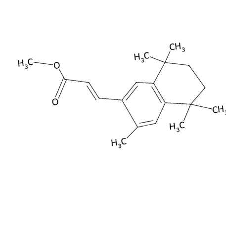 COC(=O)/C=C/c1cc2c(cc1C)C(C)(C)CCC2(C)C